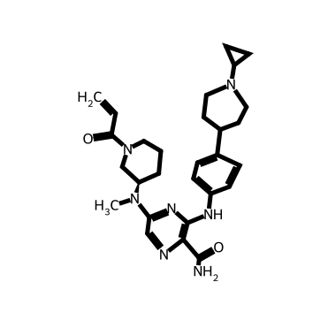 C=CC(=O)N1CCC[C@@H](N(C)c2cnc(C(N)=O)c(Nc3ccc(C4CCN(C5CC5)CC4)cc3)n2)C1